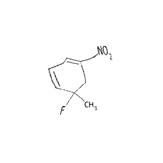 CC1(F)C=CC=C([N+](=O)[O-])C1